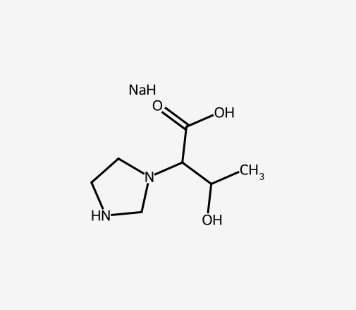 CC(O)C(C(=O)O)N1CCNC1.[NaH]